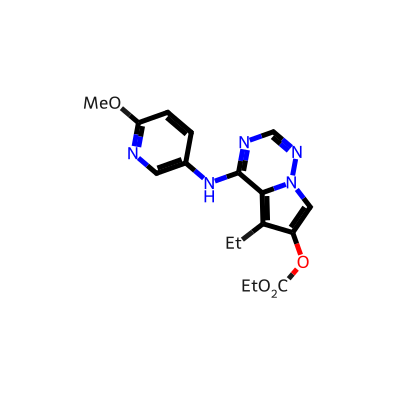 CCOC(=O)Oc1cn2ncnc(Nc3ccc(OC)nc3)c2c1CC